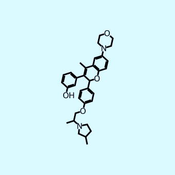 CC1=C(c2cccc(O)c2)C(c2ccc(OCC(C)N3CCC(C)C3)cc2)Oc2ccc(N3CCOCC3)cc21